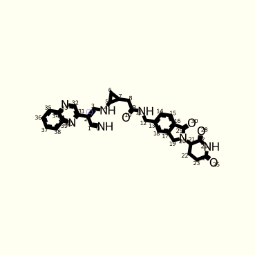 N=C/C(=C\NC1CC1CC(=O)NCc1ccc2c(c1)CN(C1CCC(=O)NC1=O)C2=O)c1cnc2ccccc2n1